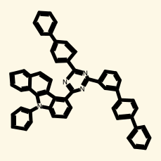 c1ccc(-c2ccc(-c3cccc(-c4nc(-c5ccc(-c6ccccc6)cc5)nc(-c5cccc6c5c5ccc7ccccc7c5n6-c5ccccc5)n4)c3)cc2)cc1